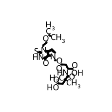 CC(C)OCCn1c(=S)[nH]c(=O)c2c1ccn2COC(=O)CC(NC(=O)C(C)(C)CC(=O)O)C(=O)O